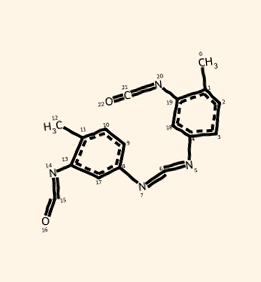 Cc1ccc(N=C=Nc2ccc(C)c(N=C=O)c2)cc1N=C=O